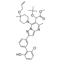 C=CCOC1(C)CCN(c2c(C(OC(C)(C)C)C(=O)OC)c(C)nc3cc(-c4cccc(-c5c(O)cccc5Cl)c4)nn23)CC1